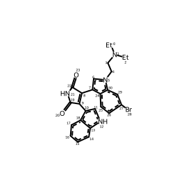 CCN(CC)CCn1cc(C2=C(c3c[nH]c4ccccc34)C(=O)NC2=O)c2ccc(Br)cc21